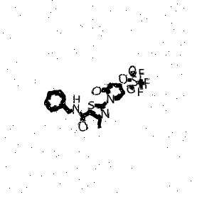 Cc1nc(-n2ccc(OS(=O)(=O)C(F)(F)F)cc2=O)sc1C(=O)NCc1ccccc1